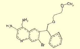 COCCOCC(c1ccccc1)c1cc2c(N)c(N)cnc2cc1Br